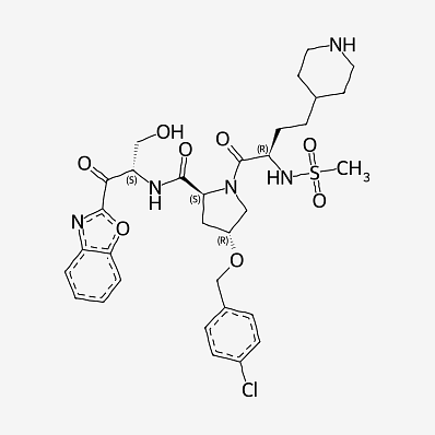 CS(=O)(=O)N[C@H](CCC1CCNCC1)C(=O)N1C[C@H](OCc2ccc(Cl)cc2)C[C@H]1C(=O)N[C@@H](CO)C(=O)c1nc2ccccc2o1